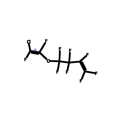 FC(F)=C(F)C(F)(F)C(F)(F)O/C(F)=C(\F)Cl